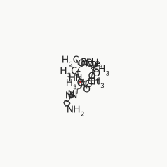 B[C@@H]1[C@@H](C)C(=O)[C@@H](C)C(=O)O[C@H](CC)[C@@]2(C)OC(=O)N(CCCCn3cc(-c4cccc(N)c4)nn3)[C@@H]2[C@@H](C)NC[C@H](C)C[C@@]1(CC=C)OC